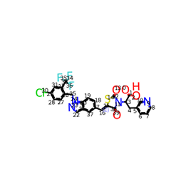 O=C(O)C(Cc1cccnc1)N1C(=O)S/C(=C\c2ccc3c(cnn3Cc3ccc(Cl)cc3C(F)(F)F)c2)C1=O